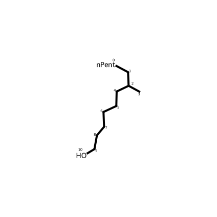 CCCCCCC(C)CCCCCCO